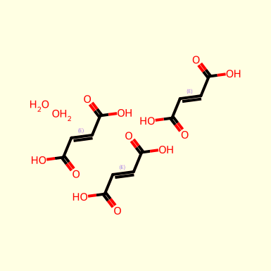 O.O.O=C(O)/C=C/C(=O)O.O=C(O)/C=C/C(=O)O.O=C(O)/C=C/C(=O)O